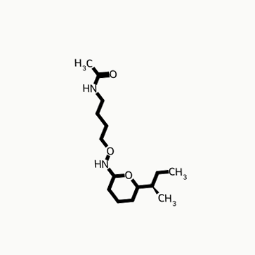 CC[C@@H](C)C1CCCC(NOCCCCNC(C)=O)O1